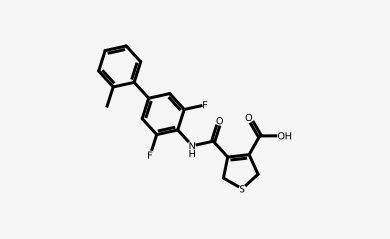 Cc1ccccc1-c1cc(F)c(NC(=O)C2=C(C(=O)O)CSC2)c(F)c1